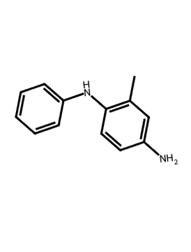 Cc1cc(N)ccc1Nc1ccccc1